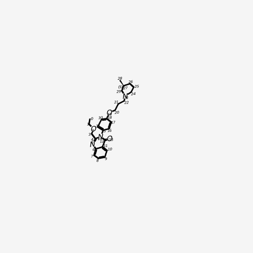 CCOCc1nc2ccccc2c(=O)n1-c1ccc(OCCCN2CCC[C@H](C)C2)cc1